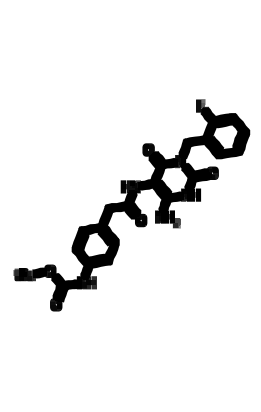 CC(C)(C)OC(=O)Nc1ccc(CC(=O)Nc2c(N)[nH]c(=O)n(Cc3ccccc3F)c2=O)cc1